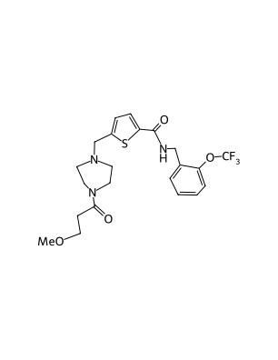 COCCC(=O)N1CCN(Cc2ccc(C(=O)NCc3ccccc3OC(F)(F)F)s2)CC1